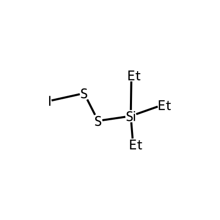 CC[Si](CC)(CC)SSI